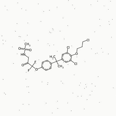 CC(C)(c1ccc(OC(F)(F)C(=O)CNS(C)(=O)=O)cc1)c1cc(Cl)c(OCCCCl)c(Cl)c1